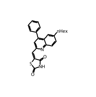 CCCCCCc1ccc2nc(/C=C3/SC(=O)NC3=O)cc(-c3ccccc3)c2c1